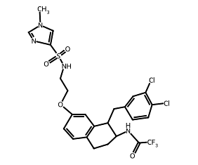 Cn1cnc(S(=O)(=O)NCCOc2ccc3c(c2)C(Cc2ccc(Cl)c(Cl)c2)C(NC(=O)C(F)(F)F)CC3)c1